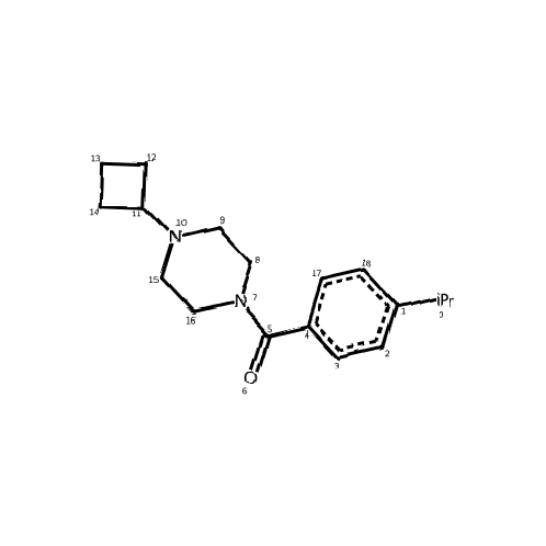 CC(C)c1ccc(C(=O)N2CCN(C3CCC3)CC2)cc1